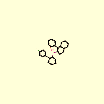 Oc1ccccc1-c1c(Pc2ccccc2-c2ccc(F)cc2)ccc2ccccc12